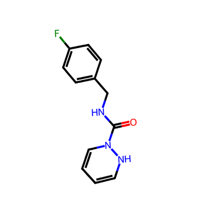 O=C(NCc1ccc(F)cc1)N1C=CC=CN1